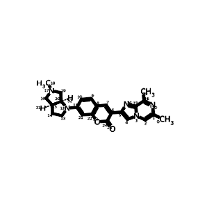 Cc1cn2cc(-c3cc4ccc(N5CC[C@H]6CN(C)C[C@H]65)cc4oc3=O)nc2c(C)n1